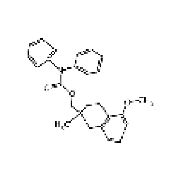 COc1cccc2c1CCC(C)(COC(=O)N(c1ccccc1)c1ccccc1)C2